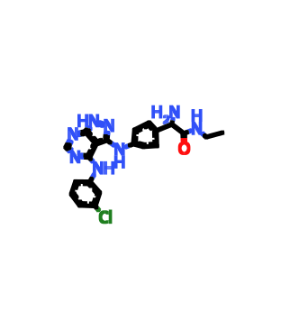 CCNC(=O)C(N)c1ccc(Nc2n[nH]c3ncnc(Nc4cccc(Cl)c4)c23)cc1